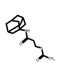 CC(=O)SCCC(=O)NC12CC3CC(CC(C3)C1)C2